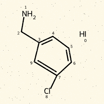 I.NCc1cccc(Cl)c1